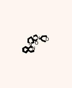 O=C1N(C2CCOCC2)CC[C@]12CCCN(c1nccc3ccccc13)C2